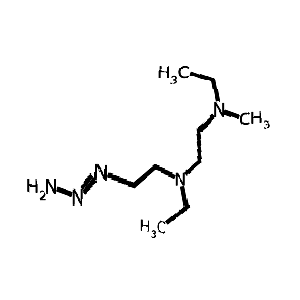 CCN(C)CCN(CC)CCN=NN